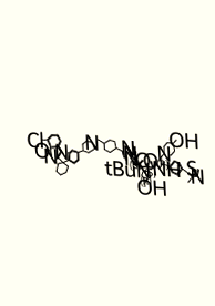 Cc1ncsc1-c1ccc([C@H](CN2CCC(O)CC2)NC(=O)[C@@H]2C[C@@H](O)CN2C(=O)[C@@H](n2cc(C3CCC(CN4CCC(c5ccc6c(c5)-n5c(nc(=O)c7c(Cl)cccc75)C65CCCCC5)CC4)CC3)nn2)C(C)(C)C)cc1